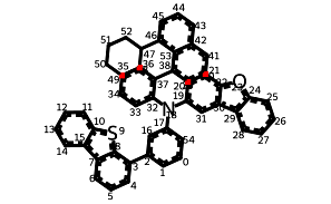 c1cc(-c2cccc3c2sc2ccccc23)cc(N(c2ccc3oc4ccccc4c3c2)c2ccccc2-c2cccc3cccc(C4CCCCC4)c23)c1